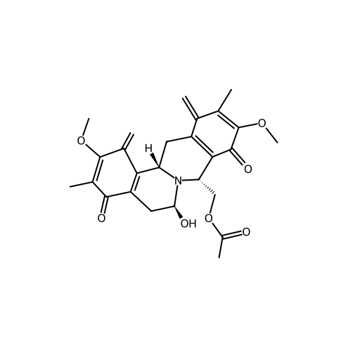 C=C1C(C)=C(OC)C(=O)C2=C1C[C@H]1C3=C(C[C@H](O)N1[C@H]2COC(C)=O)C(=O)C(C)=C(OC)C3=C